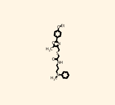 CCOc1ccc(-c2nc(CSCC(=O)NCCCN(C)c3ccccc3)c(C)o2)cc1